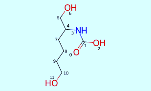 O=C(O)NC(CO)CCCCO